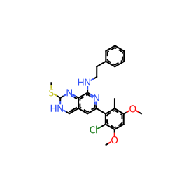 COc1cc(OC)c(Cl)c(-c2cc3c(c(NCCc4ccccc4)n2)=NC(SC)NC=3)c1C